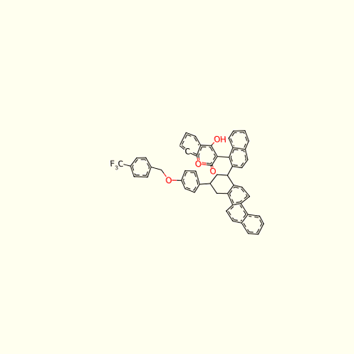 O=c1oc2ccccc2c(O)c1-c1c(C2CC(c3ccc(OCc4ccc(C(F)(F)F)cc4)cc3)Cc3c2ccc2c3ccc3ccccc32)ccc2ccccc12